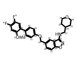 COc1cc(F)c(F)cc1-c1ccc(OCc2ccc3onc(NCC4CCOCC4)c3c2)cc1